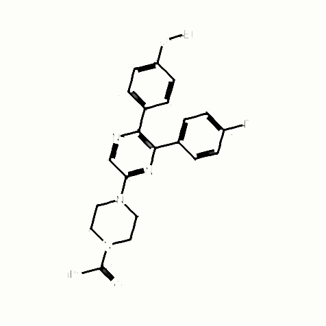 CCOc1ccc(-c2ncc(N3CCN(C(=O)C(C)C)CC3)nc2-c2ccc(F)cc2)cc1